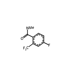 CNC(=O)c1ccc(F)cc1C(F)(F)F